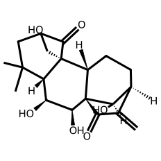 C=C1C(=O)[C@]23[C@H](O)[C@H]1CC[C@H]2[C@]1(CO)C(=O)CCC(C)(C)[C@H]1[C@H](O)[C@@H]3O